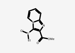 CC[S+]([O-])c1c(C(=O)OC)nc2ccccn12